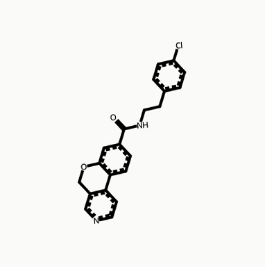 O=C(NCCc1ccc(Cl)cc1)c1ccc2c(c1)OCc1cnccc1-2